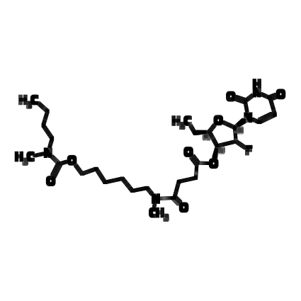 CCCCN(C)C(=O)OCCCCCCN(C)C(=O)CCC(=O)O[C@@H]1C(F)[C@H](n2ccc(=O)[nH]c2=O)O[C@@H]1CC